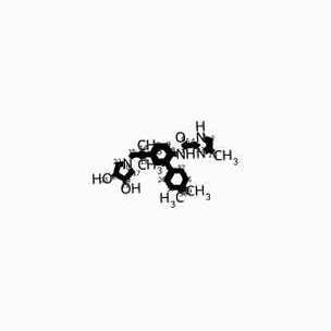 Cc1c[nH]c(C(=O)Nc2ccc(C(C)(C)CN3C[C@@H](O)[C@@H](O)C3)cc2C2=CCC(C)(C)CC2)n1